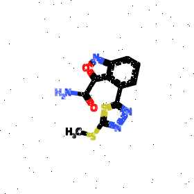 CSc1nnc(-c2cccc3noc(C(N)=O)c23)s1